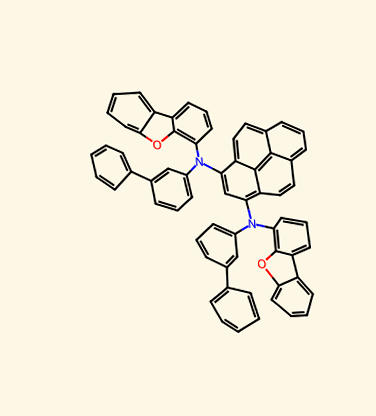 c1ccc(-c2cccc(N(c3cc(N(c4cccc(-c5ccccc5)c4)c4cccc5c4oc4ccccc45)c4ccc5cccc6ccc3c4c65)c3cccc4c3oc3ccccc34)c2)cc1